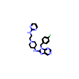 Fc1ccc(Cn2c(NC3CCN(CCNc4ncccn4)CC3)nc3cncnc32)cc1